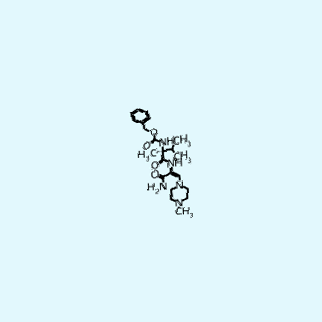 CC(C)[C@](C)(NC(=O)OCc1ccccc1)C(=O)NC(=CN1CCN(C)CC1)C(N)=O